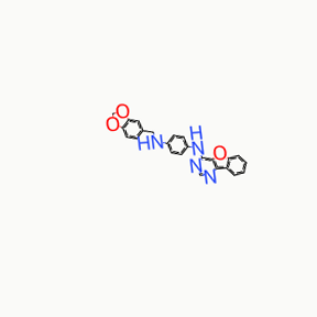 c1ccc2c(c1)oc1c(Nc3ccc(NCc4ccc5c(c4)OCO5)cc3)ncnc12